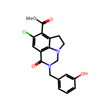 COC(=O)c1c(Cl)cc2c3c1CCN3CN(Cc1cccc(O)c1)C2=O